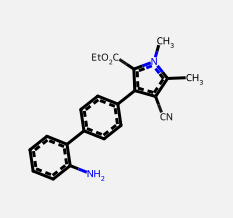 CCOC(=O)c1c(-c2ccc(-c3ccccc3N)cc2)c(C#N)c(C)n1C